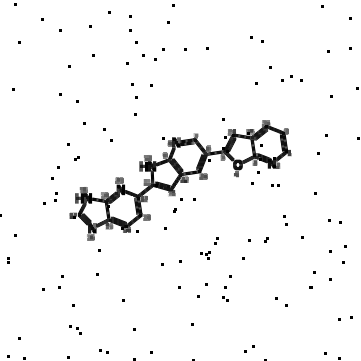 c1cnc2oc(-c3cnc4[nH]c(-c5ccc6nc[nH]c6n5)cc4c3)cc2c1